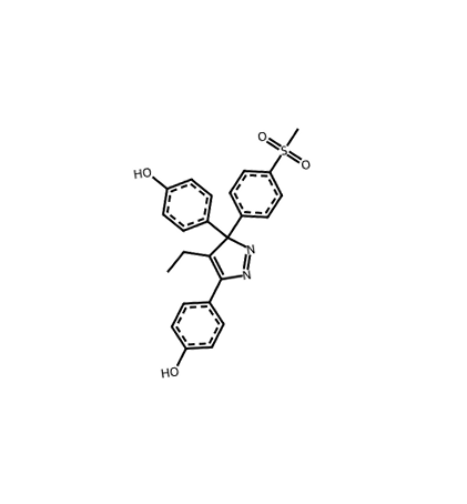 CCC1=C(c2ccc(O)cc2)N=NC1(c1ccc(O)cc1)c1ccc(S(C)(=O)=O)cc1